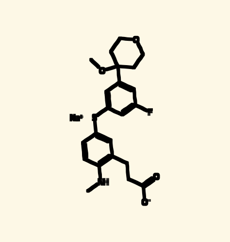 CNc1ccc(Sc2cc(F)cc(C3(OC)CCOCC3)c2)cc1CCC(=O)[O-].[Na+]